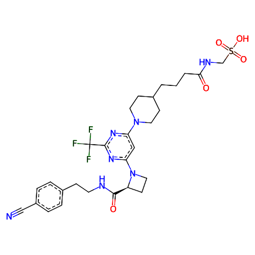 N#Cc1ccc(CCNC(=O)[C@@H]2CCN2c2cc(N3CCC(CCCC(=O)NCS(=O)(=O)O)CC3)nc(C(F)(F)F)n2)cc1